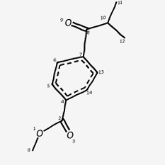 COC(=O)c1ccc(C(=O)C(C)C)cc1